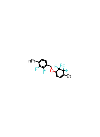 CCCc1ccc(COC2=CC=C(CC)C(F)(F)C2(F)F)c(F)c1F